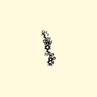 CCCCNC(=O)NS(=O)(=O)c1ccc(CCNC(=O)N2Cc3cccnc3C2=O)cc1